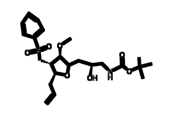 C=CC[C@@H]1OC(C[C@H](O)CNC(=O)OC(C)(C)C)[C@H](OC)[C@H]1CS(=O)(=O)c1ccccc1